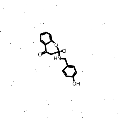 O=C1CC(Cl)(NCc2ccc(O)cc2)Oc2ccccc21